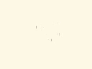 NC(C(=O)O)C(N)(N)c1ccccc1